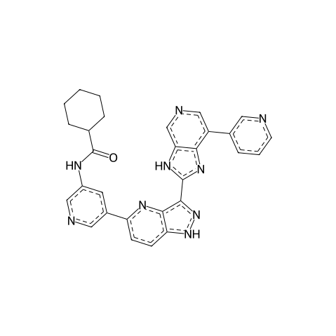 O=C(Nc1cncc(-c2ccc3[nH]nc(-c4nc5c(-c6cccnc6)cncc5[nH]4)c3n2)c1)C1CCCCC1